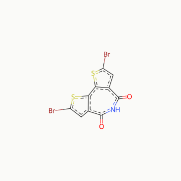 O=c1[nH]c(=O)c2cc(Br)sc2c2sc(Br)cc12